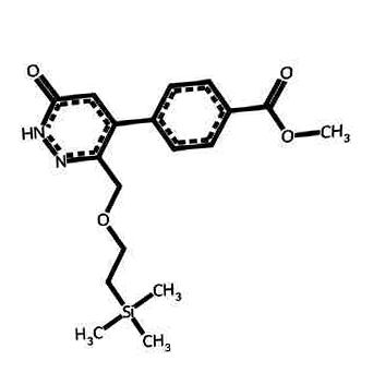 COC(=O)c1ccc(-c2cc(=O)[nH]nc2COCC[Si](C)(C)C)cc1